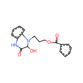 O=C(OCCCN1c2ccccc2NC(=O)C1O)c1ccccc1